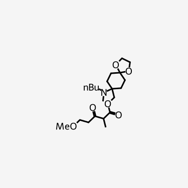 CCCCN(C)C1(COC(=O)C(C)C(=O)CCOC)CCC2(CC1)OCCO2